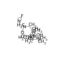 CO[C@]1(C)C[C@@H](C)CN(C)[C@@H](CCCN2CCC(F)C2)COC(=O)C(C)(C)C(=O)[C@H](C)[C@H]1O[C@@H]1O[C@H](C)C[C@H](N(C)C)[C@H]1O